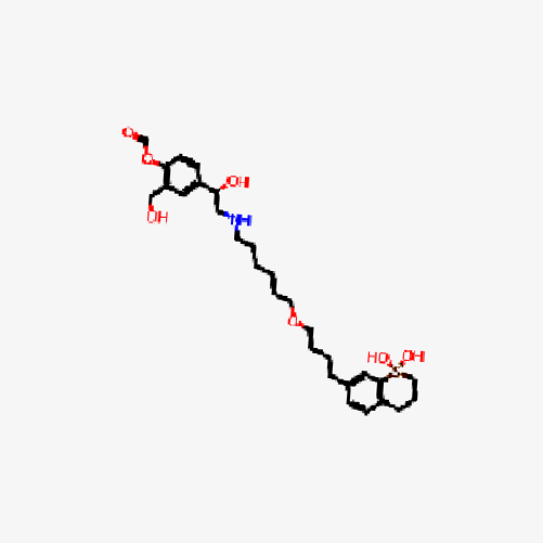 O=COc1ccc([C@@H](O)CNCCCCCCOCCCCc2ccc3c(c2)S(O)(O)CCC3)cc1CO